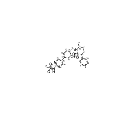 C[C@H]1CCC(c2ccccc2)S(=O)(=O)N1Cc1ccc(-c2cnc(NS(C)(=O)=O)nc2)cc1F